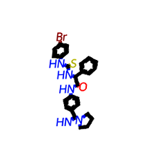 N=C(c1ccc(NC(=O)C(NC(=S)Nc2ccc(Br)cc2)c2ccccc2)cc1)N1CCCC1